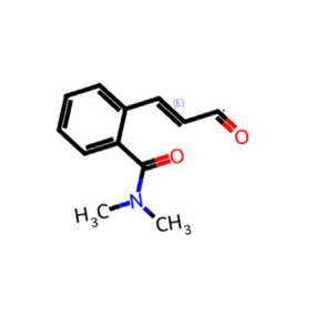 CN(C)C(=O)c1ccccc1/C=C/[C]=O